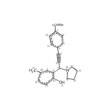 COc1ccc(C#CC(c2cc(C)ccc2O)N2CCCC2)cc1